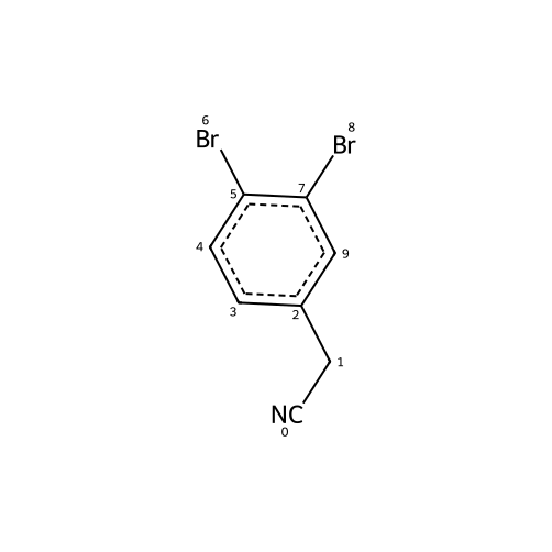 N#CCc1ccc(Br)c(Br)c1